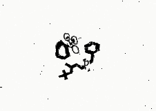 CC(CC[P+](C)(C)Cc1ccccc1)CC(C)(C)C.O=S(=O)([O-])c1ccccc1